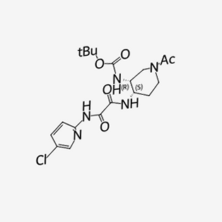 CC(=O)N1CC[C@H](NC(=O)C(=O)Nc2ccc(Cl)cn2)[C@H](NC(=O)OC(C)(C)C)C1